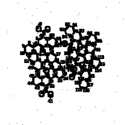 COC(=O)c1cc(-c2ccccc2)c(Oc2ccc3ccccc3c2-c2c(Oc3c(-c4ccccc4)cc(C(=O)OC)c4ccccc34)ccc3ccccc23)c2ccccc12.O=C(O)c1c(Oc2ccc3ccccc3c2-c2c(Oc3c(-c4ccccc4)cc4ccccc4c3C(=O)O)ccc3ccccc23)c(-c2ccccc2)cc2ccccc12